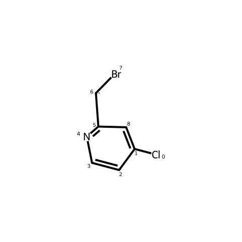 Clc1ccnc([CH]Br)c1